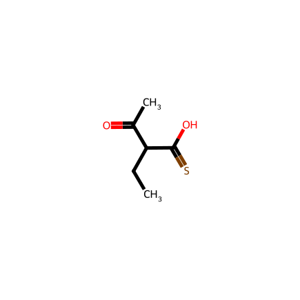 CCC(C(C)=O)C(O)=S